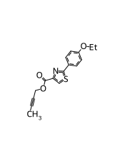 CC#CCOC(=O)c1csc(-c2ccc(OCC)cc2)n1